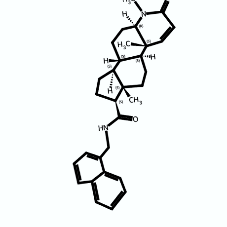 CN1C(=O)C=C[C@]2(C)[C@H]3CC[C@]4(C)[C@@H](C(=O)NCc5cccc6ccccc56)CC[C@H]4[C@@H]3CC[C@@H]12